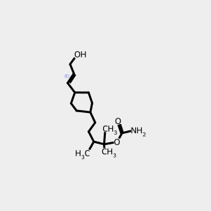 CC(CCC1CCC(/C=C/CO)CC1)C(C)(C)OC(N)=O